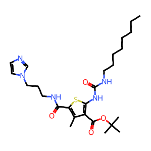 CCCCCCCCNC(=O)Nc1sc(C(=O)NCCCn2ccnc2)c(C)c1C(=O)OC(C)(C)C